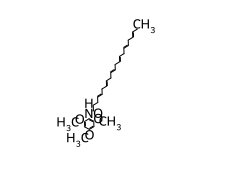 CC/C=C/C/C=C/C/C=C/C/C=C/C/C=C/C/C=C/CCC(=O)Nc1c(OC)cc(OC)cc1OC